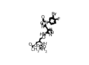 CC(=O)OCC(CONc1nonc1-c1noc(=O)n1-c1ccc(F)c(Br)c1)NS(N)(=O)=O